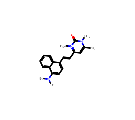 CCN(CC)c1ccc(C=Cc2cc(C)n(C)c(=O)[n+]2C)c2ccccc12